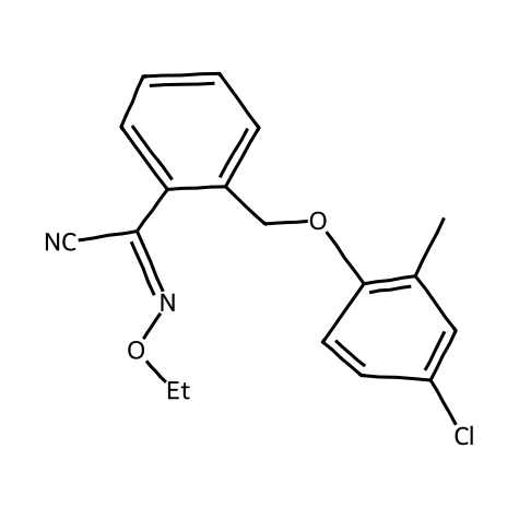 CCON=C(C#N)c1ccccc1COc1ccc(Cl)cc1C